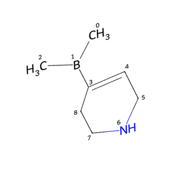 CB(C)C1=CCNCC1